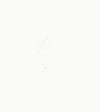 Cc1cc(OC2CCS(=O)(=O)CC2)cc(C)c1-c1ccc(F)c2c1CC[C@H]2Oc1ccc2c(c1)OC[C@H]2CC(=O)O